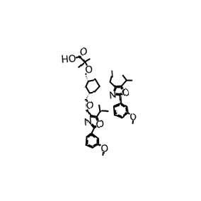 COc1cccc(-c2nc(CI)c(C(C)C)o2)c1.COc1cccc(-c2nc(COC[C@H]3CCC[C@@H](COC(C)(C)C(=O)O)C3)c(C(C)C)o2)c1